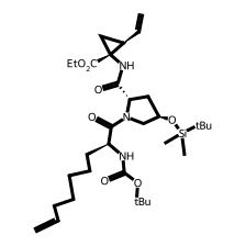 C=CCCCCC[C@H](NC(=O)OC(C)(C)C)C(=O)N1C[C@H](O[Si](C)(C)C(C)(C)C)C[C@H]1C(=O)N[C@]1(C(=O)OCC)C[C@H]1C=C